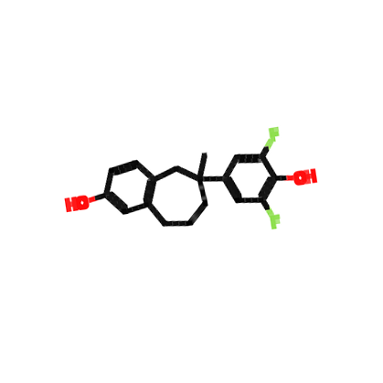 CC1(c2cc(F)c(O)c(F)c2)CCCc2cc(O)ccc2C1